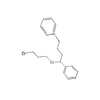 ClCCCOC(CCCc1ccccc1)c1ccccc1